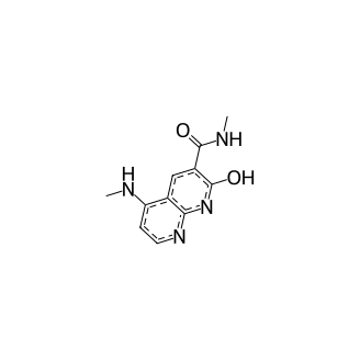 CNC(=O)c1cc2c(NC)ccnc2nc1O